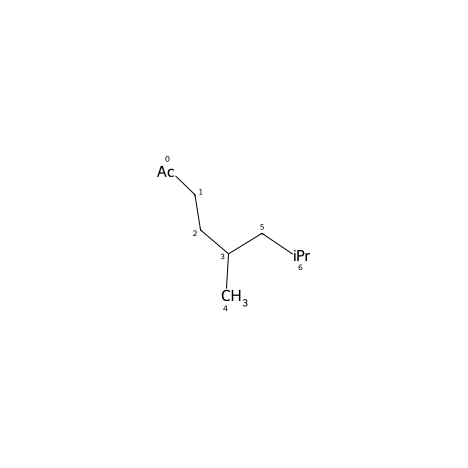 CC(=O)CCC(C)CC(C)C